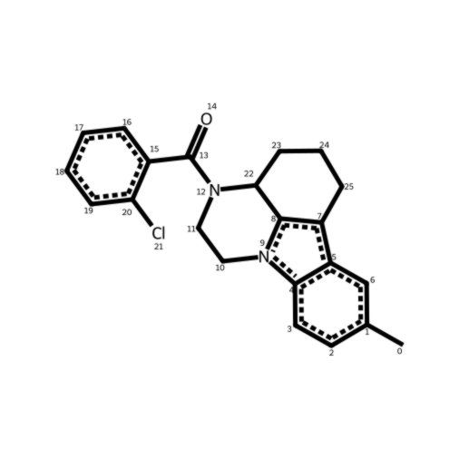 Cc1ccc2c(c1)c1c3n2CCN(C(=O)c2ccccc2Cl)C3CCC1